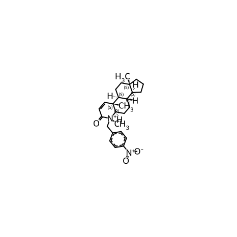 C[C@@]12CCC[C@H]1[C@@H]1CC[C@@H]3[C@](C)(C=CC(=O)[N+]3(C)Cc3ccc([N+](=O)[O-])cc3)[C@H]1CC2